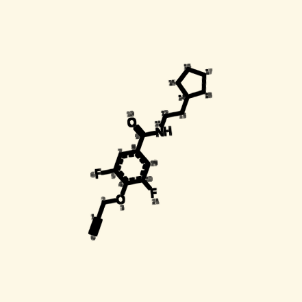 C#CCOc1c(F)cc(C(=O)NCCC2CCCC2)cc1F